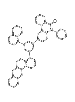 O=c1c2ccccc2c2cc(-c3cc(-c4cccc5ccccc45)cc(-c4cccc5c4ccc4cc6ccccc6cc45)c3)ccc2n1-c1ccccc1